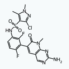 Cc1c(S(=O)(=O)Nc2ccc(F)c(-c3cc4cnc(N)nc4n(C)c3=O)c2F)c(Cl)nn1C